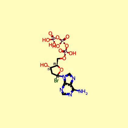 Nc1ncnc2c1ncn2[C@@]1(Br)C[C@H](O)[C@@H](COP(=O)(O)OP(=O)(O)OP(=O)(O)O)O1